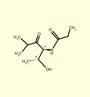 CCC(=O)N[C@H](C(=O)C(C)C)[C@@H](C)O